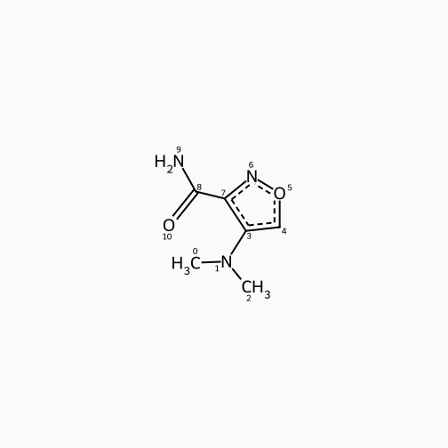 CN(C)c1conc1C(N)=O